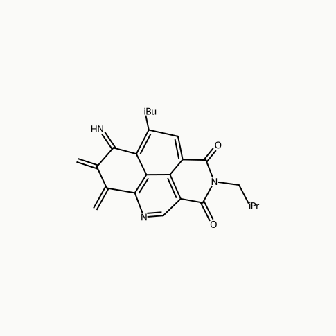 C=C1C(=C)c2ncc3c4c(cc(C(C)CC)c(c24)C1=N)C(=O)N(CC(C)C)C3=O